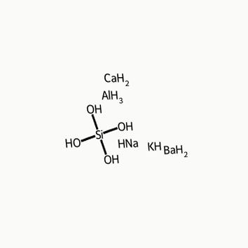 O[Si](O)(O)O.[AlH3].[BaH2].[CaH2].[KH].[NaH]